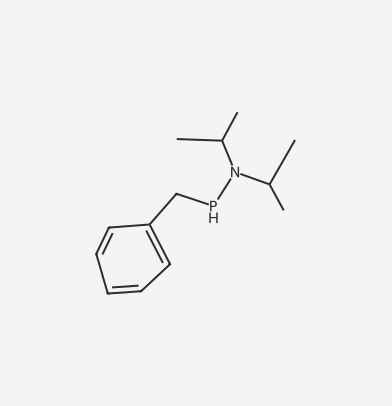 CC(C)N(PCc1ccccc1)C(C)C